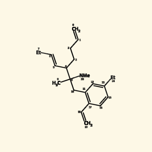 C=CCCC(/C=C/CC)C(C)(Cc1cc(CC)ccc1C=C)NC